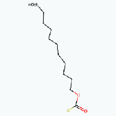 CCCCCCCCCCCCCCCCCCOC(=O)[S]